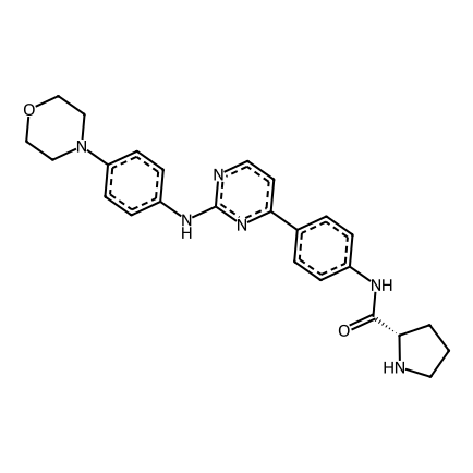 O=C(Nc1ccc(-c2ccnc(Nc3ccc(N4CCOCC4)cc3)n2)cc1)[C@@H]1CCCN1